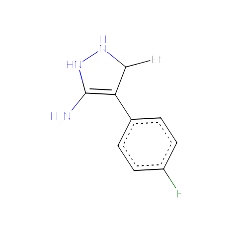 CCC1NNC(N)=C1c1ccc(F)cc1